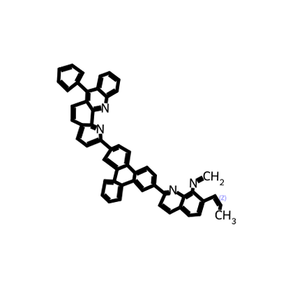 C=Nc1c(/C=C\C)ccc2ccc(-c3ccc4c5ccc(-c6ccc7ccc8c(-c9ccccc9)c9ccccc9nc8c7n6)cc5c5ccccc5c4c3)nc12